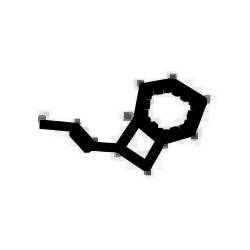 CC=CC1Cc2ccccc21